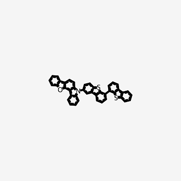 c1ccc2c(c1)oc1c2ccc2c1c1ccccc1n2-c1ccc2sc3c(-c4cccc5c4sc4ccccc45)cccc3c2c1